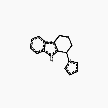 c1ccc2c3c([nH]c2c1)C(n1cccc1)CCC3